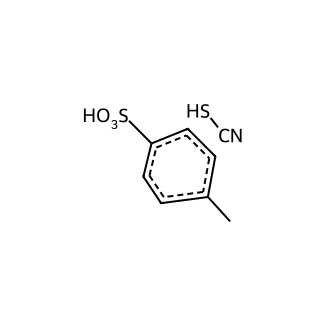 Cc1ccc(S(=O)(=O)O)cc1.N#CS